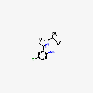 CC/C(=N\CC(C)C1CC1)c1cc(Cl)ccc1N